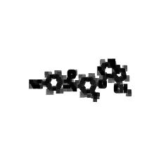 Cc1ccn2ncnc(Oc3ccc(NC(=O)c4ccc(C#N)cc4)cc3F)c12